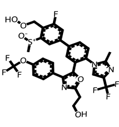 Cc1nc(C(F)(F)F)cn1-c1ccc(-c2cc(F)c(COO)c([S+](C)[O-])c2)cc1-c1oc(CCO)nc1-c1ccc(OC(F)(F)F)cc1